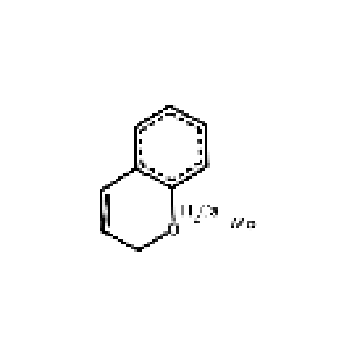 C1=Cc2ccccc2OC1.[CaH2].[Mo]